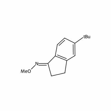 CO/N=C1\CCc2cc(C(C)(C)C)ccc21